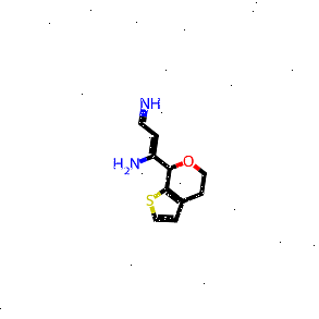 N=C/C=C(\N)C1OCCc2ccsc21